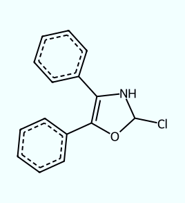 ClC1NC(c2ccccc2)=C(c2ccccc2)O1